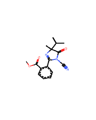 COC(=O)c1ccccc1C1=NC(C)(C(C)C)C(=O)N1C#N